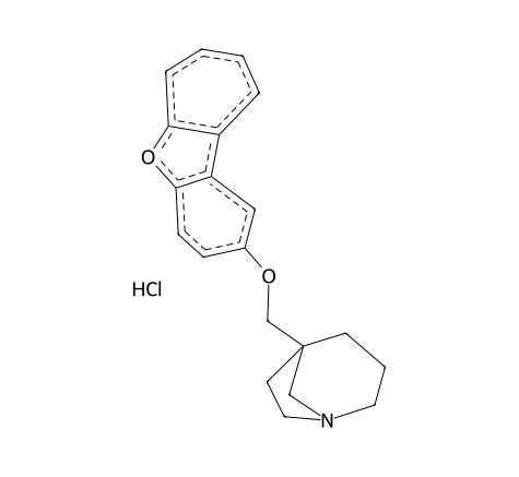 Cl.c1ccc2c(c1)oc1ccc(OCC34CCCN(CC3)C4)cc12